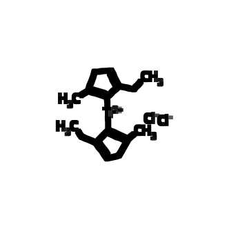 CCC1=CCC(C)=[C]1[Ti+2][C]1=C(C)CC=C1CC.[Cl-].[Cl-]